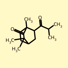 CC(C)C(=O)C1CC2CCC1(C)C(=O)C2(C)C